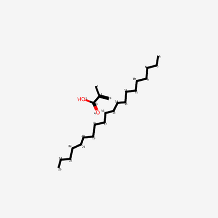 C=C(C)C(=O)O.CCCCCCCCCCCCCCCCCCCC